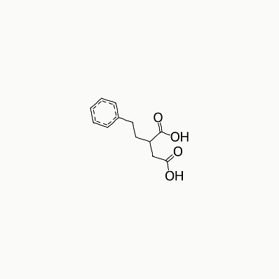 O=C(O)CC(CCc1ccccc1)C(=O)O